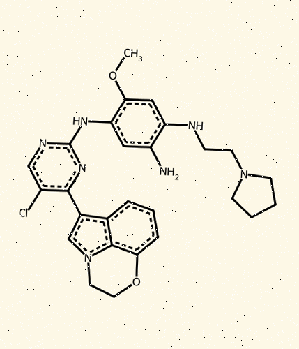 COc1cc(NCCN2CCCC2)c(N)cc1Nc1ncc(Cl)c(-c2cn3c4c(cccc24)OCC3)n1